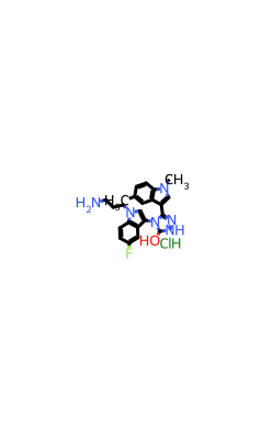 Cc1ccc2c(c1)c(C1=NNC(O)N1c1cn(CCCN)c3ccc(F)cc13)cn2C.Cl